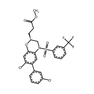 COC(=O)CC[C@H]1CN(S(=O)(=O)c2cccc(C(F)(F)F)c2)c2cc(-c3cccc(Cl)c3)c(Cl)cc2O1